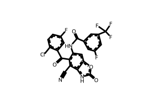 N#Cc1c(C(=O)c2cc(F)ccc2Cl)c(NC(=O)c2cc(F)cc(C(F)(F)F)c2)cc2oc(=O)[nH]c12